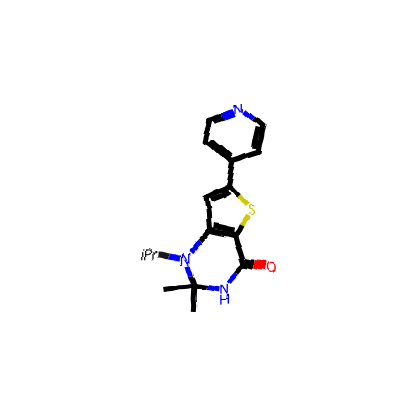 CC(C)N1c2cc(-c3ccncc3)sc2C(=O)NC1(C)C